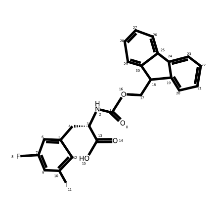 O=C(N[C@@H](Cc1cc(F)cc(I)c1)C(=O)O)OCC1c2ccccc2-c2ccccc21